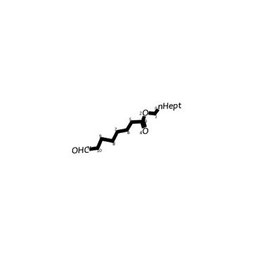 CCCCCCCCOC(=O)CCCCCCC=O